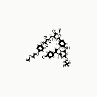 CCOCCOc1ccc(NC(=O)C(=O)NC[C@H](NC(=O)c2ccc(Nc3nc(NC4(c5ccc(Cl)cc5)CC4)nc(OCC(F)(F)F)n3)cc2)C(=O)OC)cc1